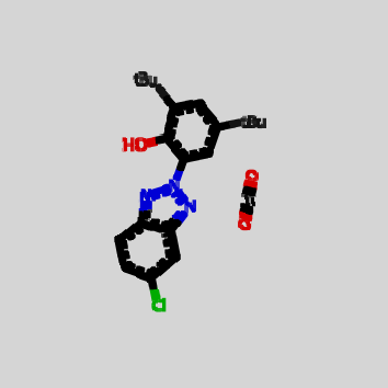 CC(C)(C)c1cc(-n2nc3ccc(Cl)cc3n2)c(O)c(C(C)(C)C)c1.[O]=[Ti]=[O]